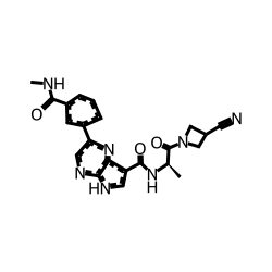 CNC(=O)c1cccc(-c2cnc3[nH]cc(C(=O)N[C@H](C)C(=O)N4CC(C#N)C4)c3n2)c1